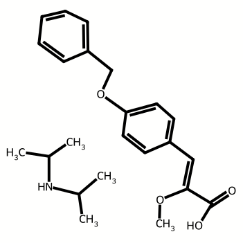 CC(C)NC(C)C.COC(=Cc1ccc(OCc2ccccc2)cc1)C(=O)O